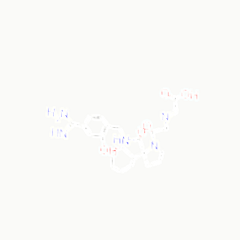 N=C(N)c1ccc(CNC(=O)[C@]2(C3CCCCC3)CCCN2C(=O)CN=CC(=O)O)c(O)c1